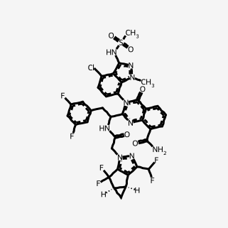 Cn1nc(NS(C)(=O)=O)c2c(Cl)ccc(-n3c(C(Cc4cc(F)cc(F)c4)NC(=O)Cn4nc(C(F)F)c5c4C(F)(F)[C@@H]4C[C@H]54)nc4c(C(N)=O)cccc4c3=O)c21